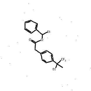 CCC(OC(=O)Cc1ccc(C(C)(CC)C(F)(F)F)cc1)c1ccccc1